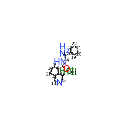 Cl.Cl.NC(CNC(=O)c1cccc2cnccc12)c1ccccc1